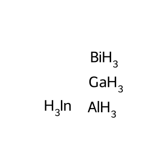 [AlH3].[BiH3].[GaH3].[InH3]